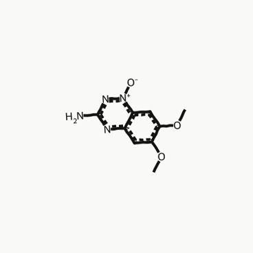 COc1cc2nc(N)n[n+]([O-])c2cc1OC